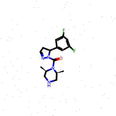 C[C@@H]1CNC[C@H](C)N1C(=O)N1N=CCC1c1cc(F)cc(F)c1